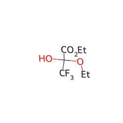 CCOC(=O)C(O)(OCC)C(F)(F)F